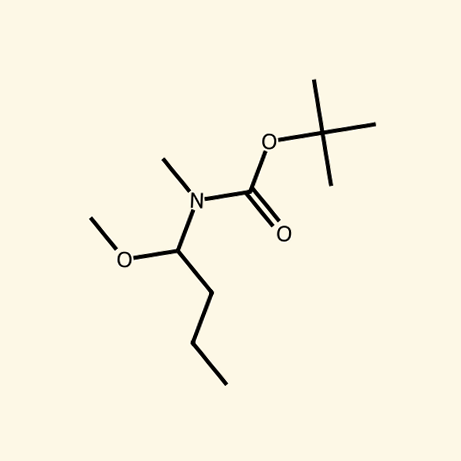 CCCC(OC)N(C)C(=O)OC(C)(C)C